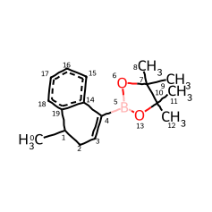 CC1CC=C(B2OC(C)(C)C(C)(C)O2)c2ccccc21